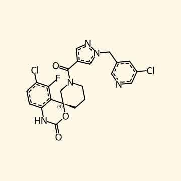 O=C1Nc2ccc(Cl)c(F)c2[C@@]2(CCCN(C(=O)c3cnn(Cc4cncc(Cl)c4)c3)C2)O1